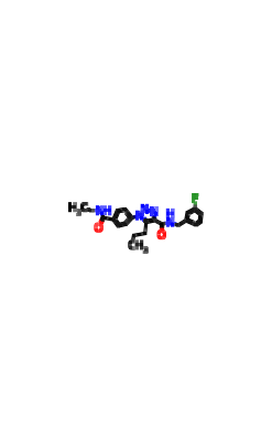 CCCc1c(C(=O)NCc2cccc(F)c2)nnn1-c1ccc(C(=O)NCC)cc1